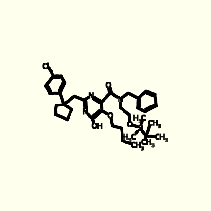 CCCCOc1c(O)nc(CC2(c3ccc(Cl)cc3)CCCC2)nc1C(=O)N(CCO[Si](C)(C)C(C)(C)C)Cc1ccccc1